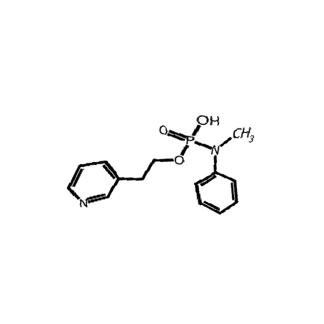 CN(c1ccccc1)P(=O)(O)OCCc1cccnc1